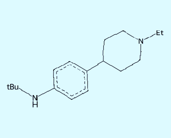 CCN1CCC(c2ccc(NC(C)(C)C)cc2)CC1